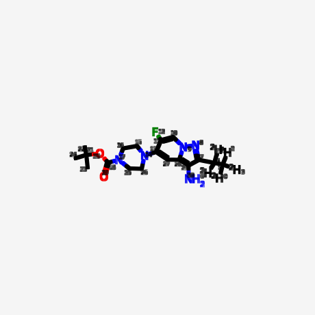 [2H]C([2H])([2H])C([2H])([2H])c1nn2cc(F)c(N3CCN(C(=O)OC(C)(C)C)CC3)cc2c1N